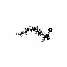 Cc1csc2c(OCc3ccccc3)cc3c(c12)[C@H](CCl)CN3C(=O)Nc1cc(C(=O)Nc2cc(C(=O)Nc3cc(C(=O)NCCC(N)=O)n(C)c3)n(C)c2)n(C)c1